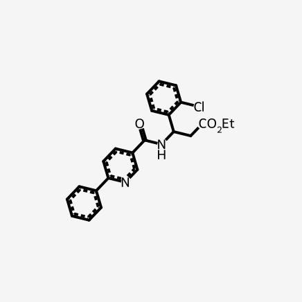 CCOC(=O)CC(NC(=O)c1ccc(-c2ccccc2)nc1)c1ccccc1Cl